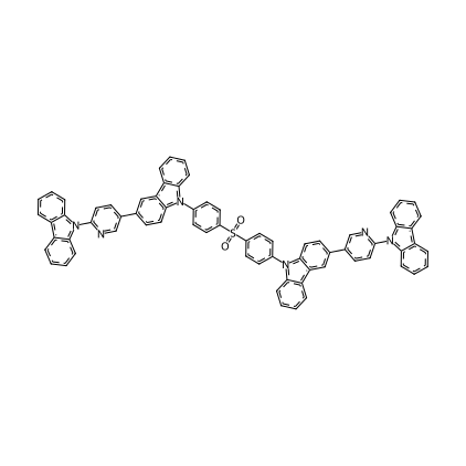 O=S(=O)(c1ccc(-n2c3ccccc3c3cc(-c4ccc(-n5c6ccccc6c6ccccc65)nc4)ccc32)cc1)c1ccc(-n2c3ccccc3c3cc(-c4ccc(-n5c6ccccc6c6ccccc65)nc4)ccc32)cc1